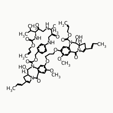 C=CCOC(=O)N[C@H](C(=O)CN[C@@H](C)C(=O)CNc1ccc(COC(=O)N2c3cc(OCCCOc4cc5c(cc4OC)C(=O)N4C=C(/C=C/C)C[C@H]4[C@H](O)N5C(=O)OCC=C)c(OC)cc3C(=O)N3C=C(/C=C/C)C[C@H]3[C@@H]2O)cc1)C(C)C